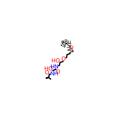 C=C(C)C(=O)NC(O)C(=O)NCC(O)COCCC[Si](C)(C)O[Si](C)(C)C[Si](C)(C)CCCC